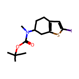 CN(C(=O)OC(C)(C)C)C1CCc2cc(I)sc2C1